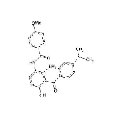 COc1ccc(C(=O)Nc2ccc(O)c(C(=O)c3ccc(N(C)C)cc3)c2N)cc1